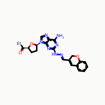 CCC(=O)[C@@H]1CC[C@H](n2cnc3c(N)nc(N/N=C/C4=Cc5ccccc5OC4)nc32)O1